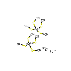 N#C[S][Pd-2]([S]C#N)([S]C#N)[S]C#N.N#C[S][Pd-2]([S]C#N)([S]C#N)[S]C#N.[K+].[K+].[Pd+2]